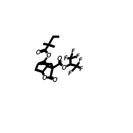 CCC(C)(C)C(=O)OC1C2CC3OC(=O)C(C(=O)OC(C(F)(F)F)C(F)(F)F)(C2)C31